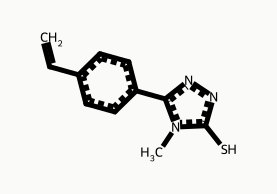 C=Cc1ccc(-c2nnc(S)n2C)cc1